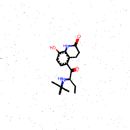 CCC(NC(C)(C)C)C(=O)c1ccc(O)c2c1CCC(=O)N2